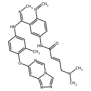 C=Nc1ccc(NC(=O)/C=C/CN(C)C)cc1/C(=N\C)Nc1ccc(Oc2cc3nncn3cn2)c(C)c1